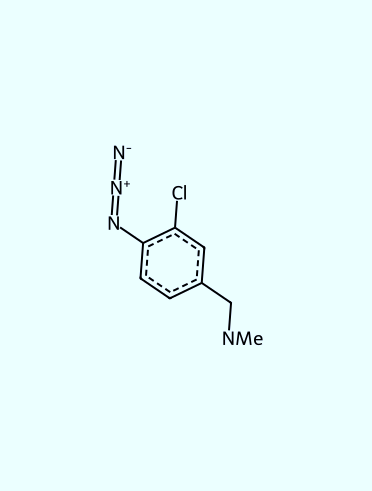 CNCc1ccc(N=[N+]=[N-])c(Cl)c1